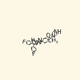 CC1(C(=O)CN2CCNCC2)C=CC(N)(CCCC(O)(c2ccc(F)cc2)c2ccc(F)cc2)C=C1